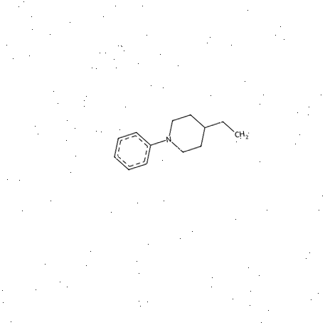 [CH2]CC1CCN(c2ccccc2)CC1